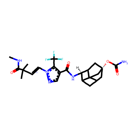 CNC(=O)C(C)(C)/C=C/n1ncc(C(=O)N[C@H]2C3CC4CC2C[C@](OC(N)=O)(C4)C3)c1C(F)(F)F